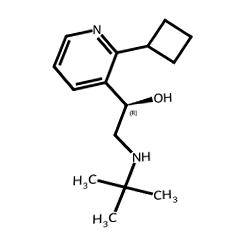 CC(C)(C)NC[C@H](O)c1cccnc1C1CCC1